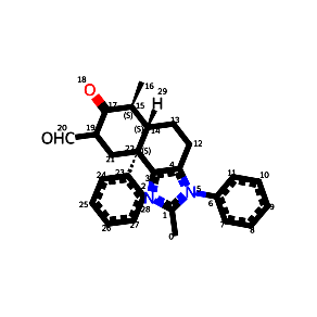 Cc1nc2c(n1-c1ccccc1)CC[C@H]1[C@H](C)C(=O)C(C=O)C[C@]21c1ccccc1